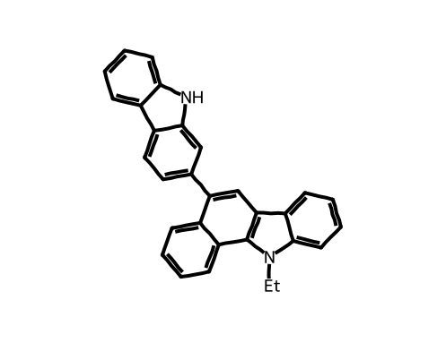 CCn1c2ccccc2c2cc(-c3ccc4c(c3)[nH]c3ccccc34)c3ccccc3c21